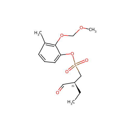 CC[C@@H](C=O)CS(=O)(=O)Oc1cccc(C)c1OCOC